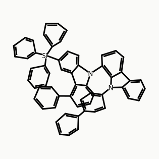 c1ccc(-c2ccc(-n3c4ccccc4c4cccc(-n5c6ccc([Si](c7ccccc7)(c7ccccc7)c7ccccc7)cc6c6c(-c7ccccc7)cccc65)c43)cc2)cc1